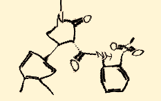 Cc1ccc([C@H]2CN(C)C(=O)[C@@H]2C(=O)Nc2ccccc2S(C)(=O)=O)cc1C